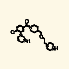 O=C(c1ccc(Cl)c(N2C=CCNC2)c1)N1CCC(COCCN2CCNCC2)CC1